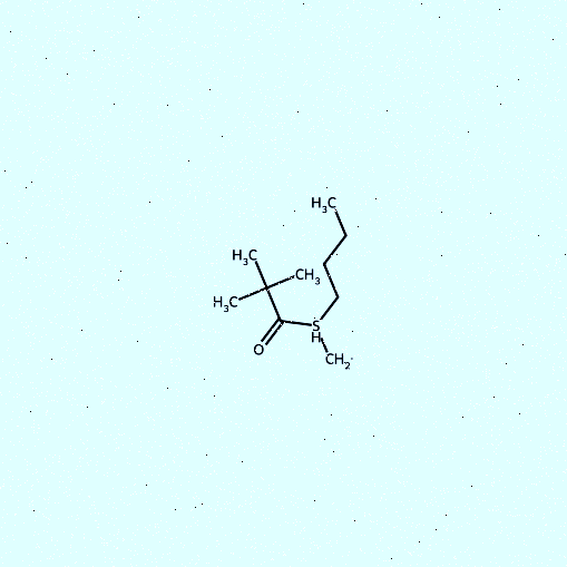 [CH2][SH](CCCC)C(=O)C(C)(C)C